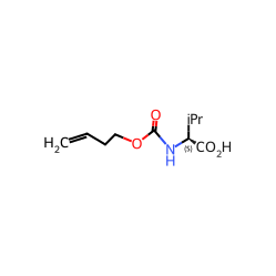 C=CCCOC(=O)N[C@H](C(=O)O)C(C)C